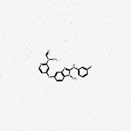 CN(C=O)c1cc(Oc2ccc3c(c2)nc(Nc2cccc(F)c2)n3C)ccn1